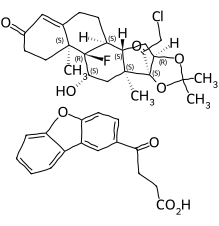 CC1(C)O[C@@H]2C[C@H]3[C@@H]4CCC5=CC(=O)CC[C@]5(C)[C@@]4(F)[C@@H](O)C[C@]3(C)[C@]2(C(=O)CCl)O1.O=C(O)CCC(=O)c1ccc2oc3ccccc3c2c1